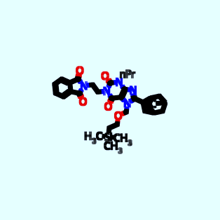 CCCn1c(=O)n(CCN2C(=O)c3ccccc3C2=O)c(=O)c2c1nc(C13CC4CC(CC1C4)C3)n2COCC[Si](C)(C)C